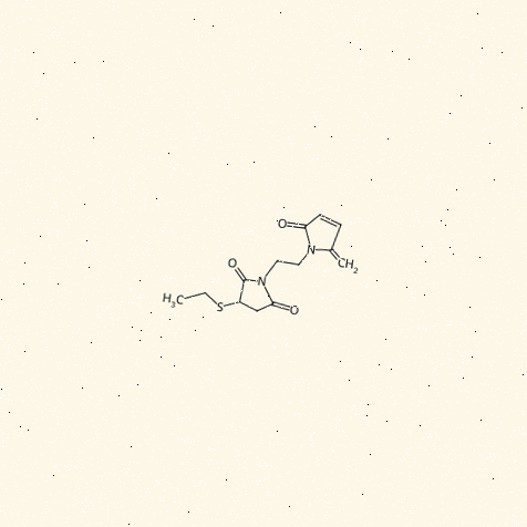 C=C1C=CC(=O)N1CCN1C(=O)CC(SCC)C1=O